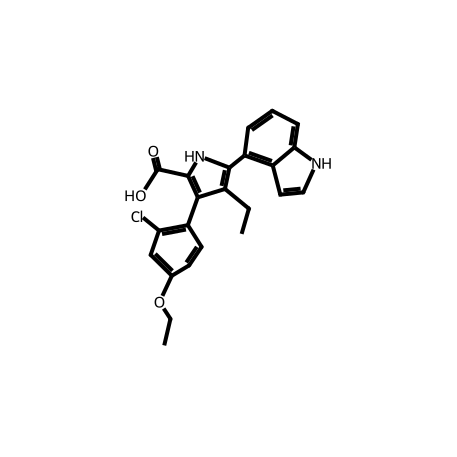 CCOc1ccc(-c2c(C(=O)O)[nH]c(-c3cccc4[nH]ccc34)c2CC)c(Cl)c1